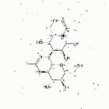 CC(=O)N[C@H]1[C@H](O[C@@H]([C@H](O)[C@H](CO)NC(C)=O)[C@H](O)CO)O[C@H](CO)[C@@H](O)[C@@H]1O